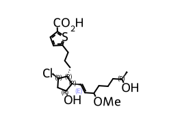 COC(/C=C/[C@@H]1[C@@H](CCCc2ccc(C(=O)O)s2)[C@H](Cl)C[C@H]1O)CCC[C@@H](C)O